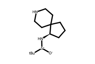 CC(C)(C)[S+]([O-])N[C@@H]1CCCC12CCNCC2